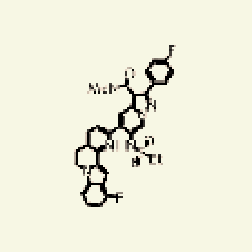 CCS(=O)(=O)Nc1cn2nc(-c3ccc(F)cc3)c(C(=O)NC)c2cc1-c1ccc2c(n1)-c1cc3c(F)cccc3n1CC2